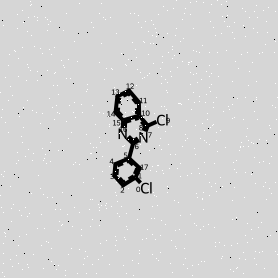 Clc1cccc(-c2nc(Cl)c3ccccc3n2)c1